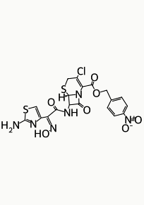 Nc1nc(C(=NO)C(=O)NC2C(=O)N3C(C(=O)OCc4ccc([N+](=O)[O-])cc4)=C(Cl)CS[C@@H]23)cs1